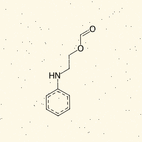 O=COCCNc1ccccc1